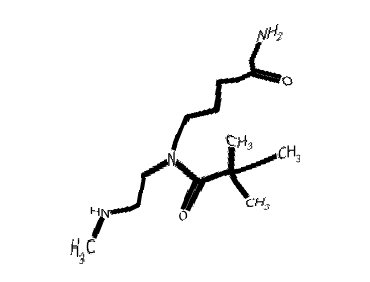 CNCCN(CCCC(N)=O)C(=O)C(C)(C)C